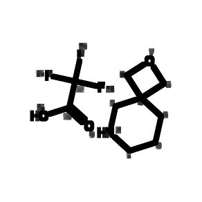 C1CNCC2(C1)COC2.O=C(O)C(F)(F)F